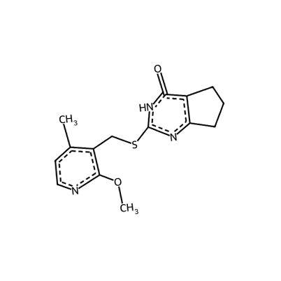 COc1nccc(C)c1CSc1nc2c(c(=O)[nH]1)CCC2